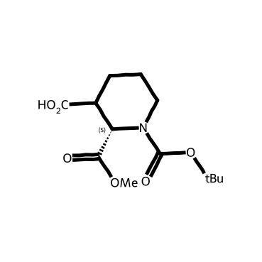 COC(=O)[C@@H]1C(C(=O)O)CCCN1C(=O)OC(C)(C)C